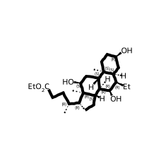 CCOC(=O)CC[C@@H](C)[C@H]1CC[C@H]2[C@@H]3[C@H](O)[C@H](CC)[C@@H]4C[C@H](O)CC[C@]4(C)[C@H]3C[C@H](O)[C@]12C